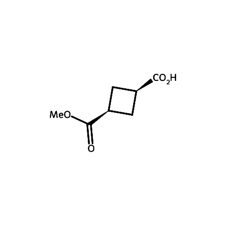 COC(=O)[C@H]1C[C@@H](C(=O)O)C1